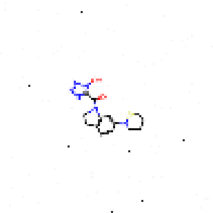 O=C(c1nnnn1O)N1CCc2ccc(N3CCCCS3)cc21